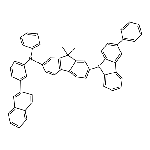 CC1(C)c2cc(N(c3ccccc3)c3cccc(-c4ccc5ccccc5c4)c3)ccc2-c2ccc(-n3c4ccccc4c4cc(-c5ccccc5)ccc43)cc21